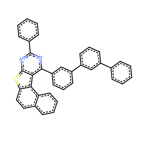 c1ccc(-c2cccc(-c3cccc(-c4nc(-c5ccccc5)nc5sc6ccc7ccccc7c6c45)c3)c2)cc1